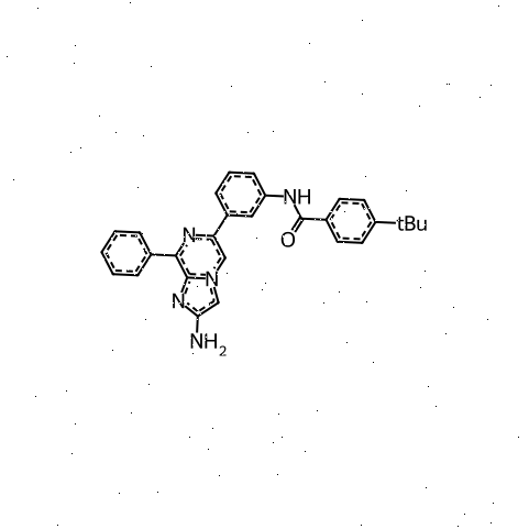 CC(C)(C)c1ccc(C(=O)Nc2cccc(-c3cn4cc(N)nc4c(-c4ccccc4)n3)c2)cc1